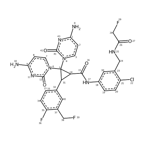 Nc1ccn(C2(n3ccc(N)nc3=O)C(C(=O)Nc3ccc(Cl)c(CNC(=O)CF)c3)C2c2ccc(F)c(CF)c2)c(=O)n1